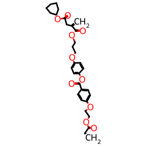 C=CC(=O)OCCOc1ccc(C(=O)Oc2ccc(OCCCOC(=O)C(=C)CC(=O)OC3CCCCC3)cc2)cc1